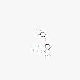 C[C@H](Cc1ccc(OCc2ccc(Cl)c(Cl)c2)cc1)N(C)CC(=O)O.Cl